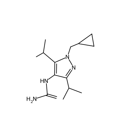 C=C(N)Nc1c(C(C)C)nn(CC2CC2)c1C(C)C